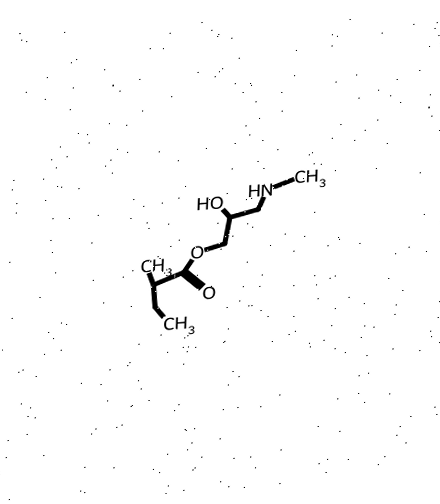 CCC(C)C(=O)OCC(O)CNC